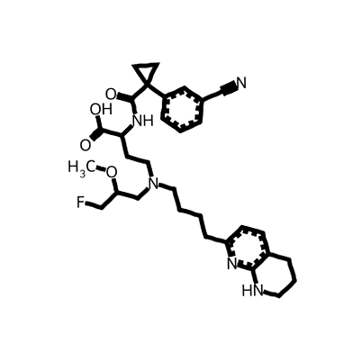 COC(CF)CN(CCCCc1ccc2c(n1)NCCC2)CCC(NC(=O)C1(c2cccc(C#N)c2)CC1)C(=O)O